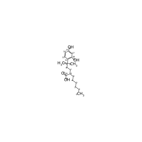 CCCCCCC(CCC(C)(C)c1ccc(O)cc1O)C(=O)O